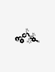 Cc1cc(C#N)cc(C)c1C(=O)NCC[C@@H](C)N1CCC(N(Cc2cccnc2)c2ccccc2)CC1